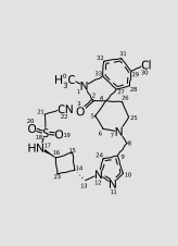 CN1C(=O)C2(CCN(Cc3cnn(C[C@H]4C[C@H](NS(=O)(=O)CC#N)C4)c3)CC2)c2cc(Cl)ccc21